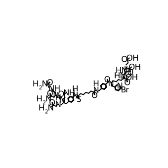 NC(=O)CNCCN(CCN(CC(N)=O)C(CNCC(N)=O)Cc1ccc(NC(=S)CCCCCC(=O)NCc2ccc(C(=O)N(CCCC[C@@H](NC(=O)N[C@H](CCC(=O)O)C(=O)O)C(=O)O)Cc3ccc(Br)nc3)cc2)cc1)CC(N)=O